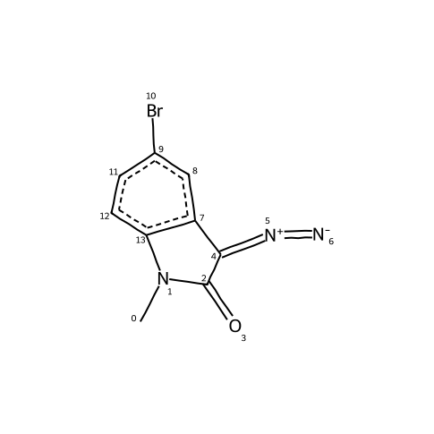 CN1C(=O)C(=[N+]=[N-])c2cc(Br)ccc21